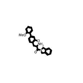 COc1ccccc1-c1ccc(CC(N)C(=O)N2Cc3ccccc3C2)c(Cl)c1